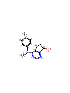 CCc1ccc(N(C)c2ncnc3c2CCC3O)cc1